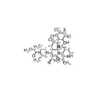 C=CC(=O)N1[C@H](C)CN(c2c(C#N)c(=O)n(C3=C(C)C=CNC3C(C)C)c3nc(-c4c(O)c(Cl)c(F)c(Cl)c4Cl)c(Cl)cc23)C[C@@H]1C